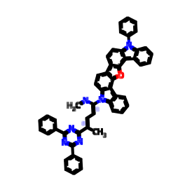 C=N/C(=C\C=C(/C)c1nc(-c2ccccc2)nc(-c2ccccc2)n1)n1c2ccccc2c2c3oc4c(ccc5c4c4ccccc4n5-c4ccccc4)c3ccc21